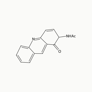 CC(=O)NC1C=Cc2nc3ccccc3cc2C1=O